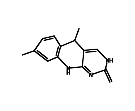 C=C1N=C2Nc3cc(C)ccc3C(C)C2=CN1